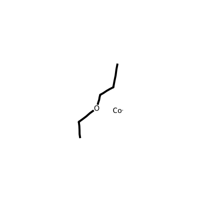 CCCOCC.[Co]